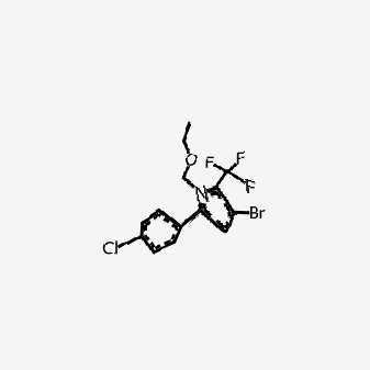 CCOCn1c(-c2ccc(Cl)cc2)cc(Br)c1C(F)(F)F